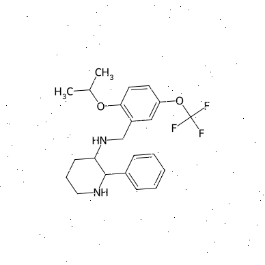 CC(C)Oc1ccc(OC(F)(F)F)cc1CNC1CCCNC1c1ccccc1